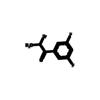 CC(Br)C(=O)c1cc(F)cc(F)c1